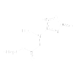 CCCCCCCOC(=O)CN(C)c1nc(=O)o[nH]1